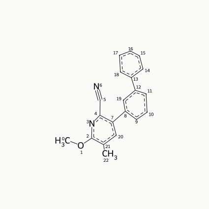 COc1nc(C#N)c(-c2cccc(-c3ccccc3)c2)cc1C